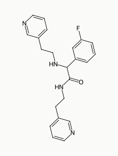 O=C(NCCc1cccnc1)C(NCCc1cccnc1)c1cccc(F)c1